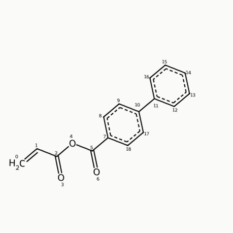 C=CC(=O)OC(=O)c1ccc(-c2ccccc2)cc1